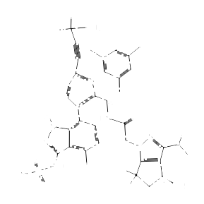 C[C@H]1CC(F)(F)c2c1c(C(F)F)nn2CC(=O)N[C@@H](Cc1cc(F)cc(F)c1)c1nc(C#CC(C)(C)O)ccc1-c1ccc(Cl)c2c(NS(N)(=O)=O)nn(C)c12